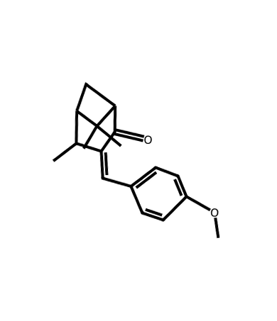 COc1ccc(C=C2C(=O)C3CC(C2C)C3(C)C)cc1